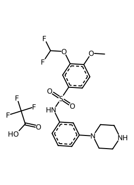 COc1ccc(S(=O)(=O)Nc2cccc(N3CCNCC3)c2)cc1OC(F)F.O=C(O)C(F)(F)F